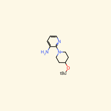 CC(C)(C)OC1CCN(c2ncccc2N)CC1